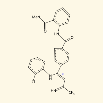 CNC(=O)c1ccccc1NC(=O)c1ccc(/C(=C/C(=N)C(F)(F)F)Nc2ccccc2Cl)cc1